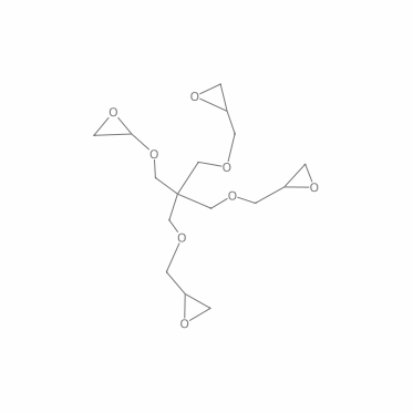 C(OCC(COCC1CO1)(COCC1CO1)COC1CO1)C1CO1